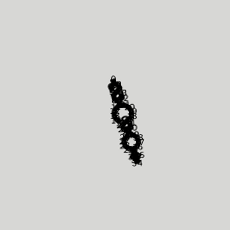 C=C1CCS2(CC1)CCC(=C1CCCCCS3(CCCCC1)CCC(=C1CCCCC(=C4CC(=C)C4)CCCC1)CC3)CC2